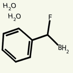 BC(F)c1ccccc1.O.O